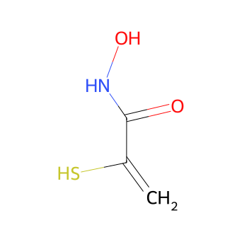 C=C(S)C(=O)NO